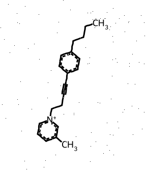 CCCCc1ccc(C#CCC[n+]2cccc(C)c2)cc1